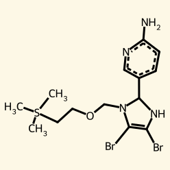 CS(C)(C)CCOCN1C(Br)=C(Br)NC1c1ccc(N)nc1